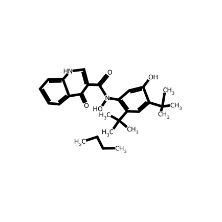 CC(C)(C)c1cc(C(C)(C)C)c(N(O)C(=O)c2c[nH]c3ccccc3c2=O)cc1O.CCCC